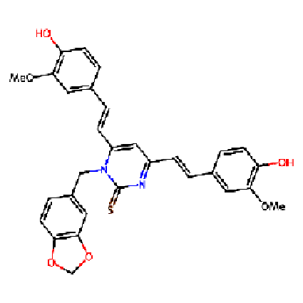 COc1cc(C=Cc2cc(C=Cc3ccc(O)c(OC)c3)n(Cc3ccc4c(c3)OCO4)c(=S)n2)ccc1O